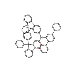 c1ccc(-c2ccc(-c3ccccc3)c(N(c3ccc4c(c3)C(c3ccccc3)(c3ccccc3)c3ccccc3-4)c3ccc4c(c3)C3(c5ccccc5-4)C4CCC3CC4)c2)cc1